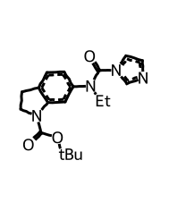 CCN(C(=O)n1ccnc1)c1ccc2c(c1)N(C(=O)OC(C)(C)C)CC2